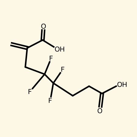 C=C(CC(F)(F)C(F)(F)CCC(=O)O)C(=O)O